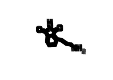 NCCCc1cccc2c1C(=O)NC2=O